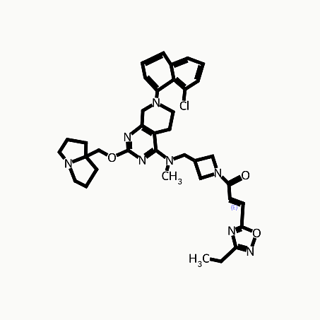 CCc1noc(/C=C/C(=O)N2CC(CN(C)c3nc(OCC45CCCN4CCC5)nc4c3CCN(c3cccc5cccc(Cl)c35)C4)C2)n1